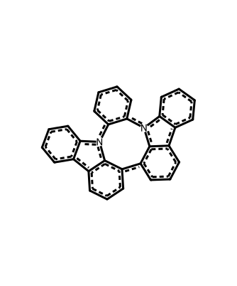 c1ccc2c(c1)c1cccc3c4cccc5c6ccccc6n(c6ccccc6n2c13)c54